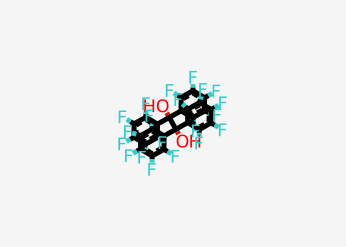 OC(c1c(F)c(F)c(F)c(F)c1F)(c1c(F)c(F)c(F)c(F)c1F)C(O)(c1c(F)c(F)c(F)c(F)c1F)c1c(F)c(F)c(F)c(F)c1F